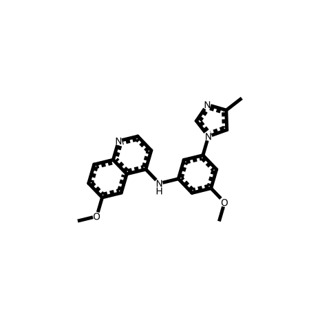 COc1cc(Nc2ccnc3ccc(OC)cc23)cc(-n2cnc(C)c2)c1